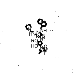 CCCN(C(=O)C(F)(F)F)[C@H]1C[C@@H](n2cnc3c(NCc4cccc5ccccc45)nc(NCCN4CCCCC4)nc32)[C@H](O)[C@@H]1O